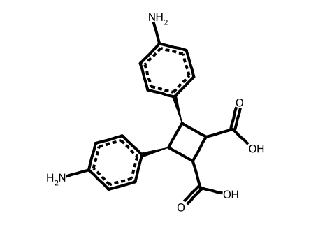 Nc1ccc([C@@H]2C(C(=O)O)C(C(=O)O)[C@@H]2c2ccc(N)cc2)cc1